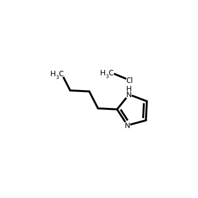 CCCCc1ncc[nH]1.CCl